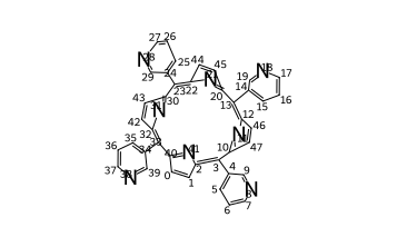 C1=CC2=C(c3cccnc3)C3=NC(=C(c4cccnc4)C4=NC(=C(c5cccnc5)C5=NC(=C(c6cccnc6)C1=N2)C=C5)C=C4)C=C3